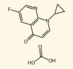 O=C(O)O.O=c1ccn(C2CC2)c2ncc(F)cc12